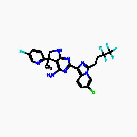 CC1(c2ccc(F)cn2)CNc2nc(-c3nc(CCC(F)(F)C(F)(F)F)n4cc(Cl)ccc34)nc(N)c21